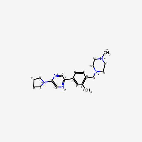 Cc1cc(-c2cnc(N3CCCC3)cn2)ccc1CN1CCN(C)CC1